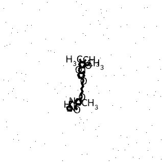 COc1cc(Oc2ccc(OCCCCCOc3cc4c(cc3C)C(=O)N3CCC[C@H]3C=N4)cc2I)cc(C)c1C